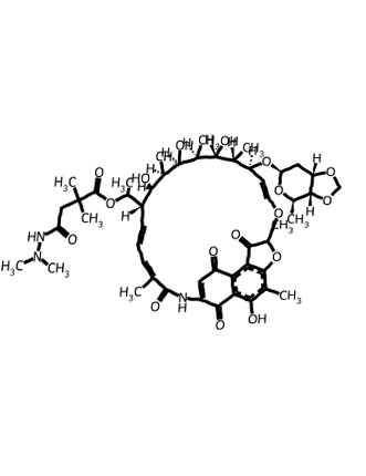 C/C1=C/C=C/[C@H](C(C)OC(=O)C(C)(C)CC(=O)NN(C)C)[C@H](O)[C@@H](C)[C@@H](O)[C@@H](C)[C@H](O)[C@H](C)[C@@H](O[C@H]2C[C@@H]3OCO[C@@H]3[C@@H](C)O2)/C=C/O[C@@]2(C)Oc3c(C)c(O)c4c(c3C2=O)C(=O)C=C(NC1=O)C4=O